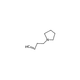 [CH]=CCCN1CCCC1